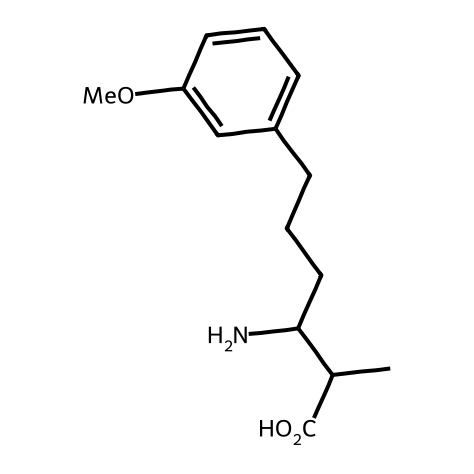 COc1cccc(CCCC(N)C(C)C(=O)O)c1